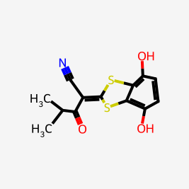 CC(C)C(=O)C(C#N)=C1Sc2c(O)ccc(O)c2S1